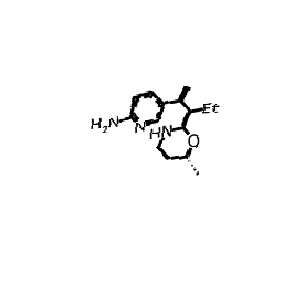 C=C(/C(CC)=C1\NCC[C@@H](C)O1)c1ccc(N)nc1